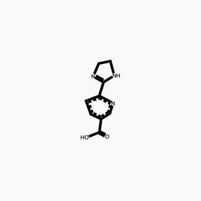 O=C(O)c1ccc(C2=NCCN2)nc1